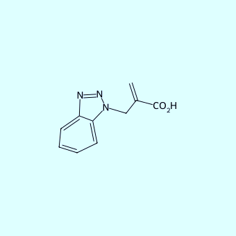 C=C(Cn1nnc2ccccc21)C(=O)O